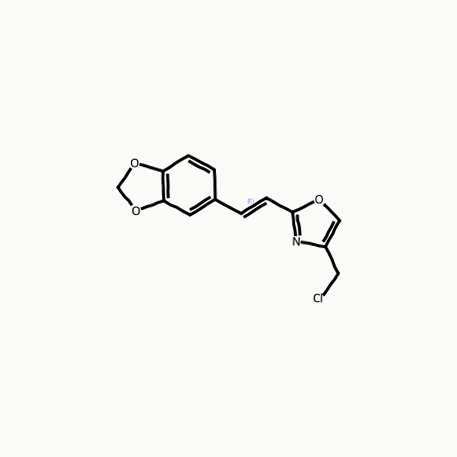 ClCc1coc(/C=C/c2ccc3c(c2)OCO3)n1